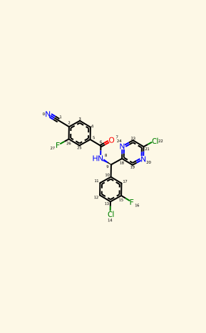 N#Cc1ccc(C(=O)N[C@H](c2ccc(Cl)c(F)c2)c2cnc(Cl)cn2)cc1F